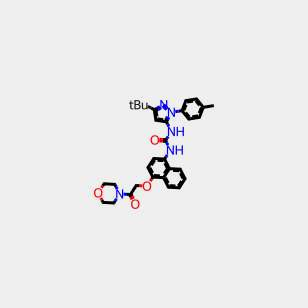 Cc1ccc(-n2nc(C(C)(C)C)cc2NC(=O)Nc2ccc(OCC(=O)N3CCOCC3)c3ccccc23)cc1